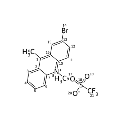 Cc1c2ccccc2[n+](C)c2ccc(Br)cc12.O=S(=O)([O-])C(F)(F)F